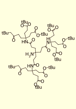 CC(C)(C)CC(=O)CCC(CCC(=O)OC(C)(C)C)(CCC(=O)OC(C)(C)C)NC(=O)CCC(N)(CCC(=O)NC(CCC(=O)CC(C)(C)C)(CCC(=O)OC(C)(C)C)CCC(=O)OC(C)(C)C)CCC(=O)NC(CCC(=O)OC(C)(C)C)(CCC(=O)OC(C)(C)C)CCC(=O)OC(C)(C)C